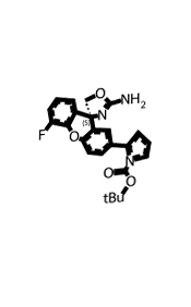 CC(C)(C)OC(=O)n1cccc1-c1ccc2c(c1)[C@@]1(COC(N)=N1)c1cccc(F)c1O2